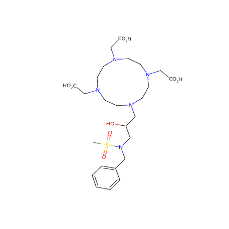 CS(=O)(=O)N(Cc1ccccc1)CC(O)CN1CCN(CC(=O)O)CCN(CC(=O)O)CCN(CC(=O)O)CC1